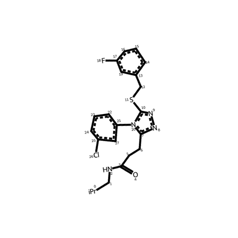 CC(C)CNC(=O)CCc1nnc(SCc2cccc(F)c2)n1-c1cccc(Cl)c1